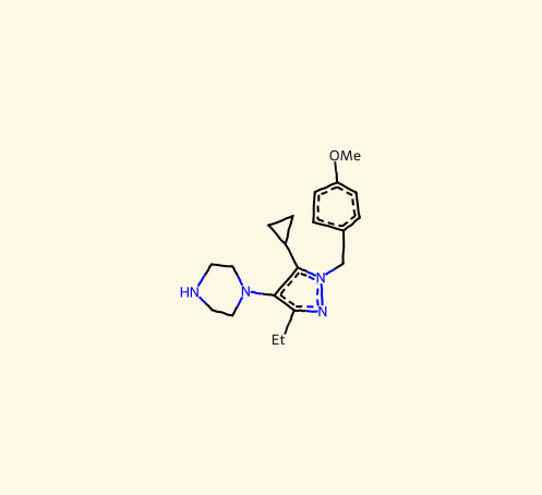 CCc1nn(Cc2ccc(OC)cc2)c(C2CC2)c1N1CCNCC1